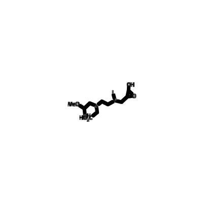 COC(O)CN(CCN(I)CC1OC1O)CC(=O)O